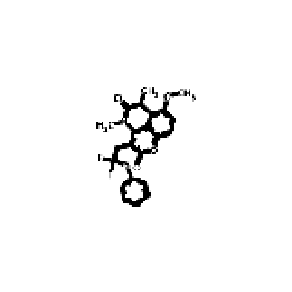 COc1ccc2oc(=O)c(CC(F)(F)Sc3ccccc3)c3c2c1C(C)C(=O)N3C